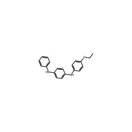 CCOc1ccc(Nc2ccc(Nc3ccccc3)cc2)cc1